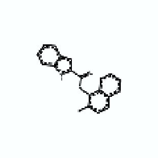 Cc1ccc2ccccc2c1NC(=O)c1cc2ccccc2[nH]1